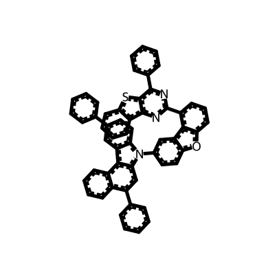 c1ccc(-c2ccc3c(c2)c2c4ccccc4c(-c4ccccc4)cc2n3-c2ccc3oc4cccc(-c5nc(-c6ccccc6)c6sc7ccccc7c6n5)c4c3c2)cc1